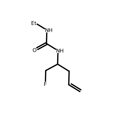 C=CCC(CF)NC(=O)NCC